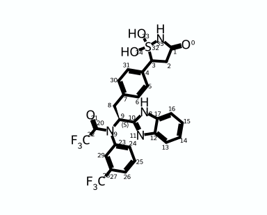 O=C1CC(c2ccc(C[C@@H](c3nc4ccccc4[nH]3)N(C(=O)C(F)(F)F)c3cccc(C(F)(F)F)c3)cc2)S(O)(O)N1